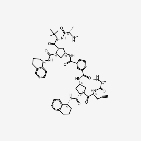 C#CC[C@H](NC(=O)[C@H](C)NC)C(=O)N1C[C@@H](NC(=O)c2cccc(C(=O)N[C@H]3C[C@@H](C(=O)N[C@@H]4CCCc5ccccc54)N(C(=O)[C@@H](NC(=O)[C@H](C)NC)C(C)(C)C)C3)c2)C[C@H]1C(=O)N[C@@H]1CCCc2ccccc21